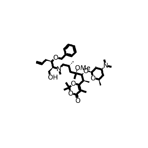 C=CC[C@@H](OCc1ccccc1)[C@H](CO)N(C)C[C@H](C)C[C@@](C)(OC)[C@H](O[C@H]1[CH][C@H](N(C)C)C[C@@H](C)O1)[C@@H](C)C1=C(C)C(=O)OC(C)(C)O1